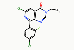 CCn1cnc2c(-c3ccc(Cl)cc3F)nc(Cl)cc2c1=O